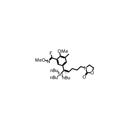 CCC[CH2][Sn]([CH2]CCC)([CH2]CCC)/[C](=C/CCCN1CCOC1=O)c1cc(C)c(OC)c(C(F)=NOC)c1